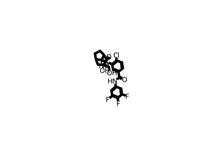 O=C(Nc1cc(F)c(F)c(F)c1)c1ccc(Cl)c(S(=O)(=O)[C@H]2C3CCC2C[C@@](O)(CO)C3)c1